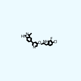 Cc1n[nH]c2ccc(-c3cncc(OC[C@@H](N)Cc4ccc(Cl)c(F)c4)c3)cc12